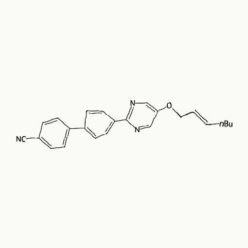 CCCCC=CCOc1cnc(-c2ccc(-c3ccc(C#N)cc3)cc2)nc1